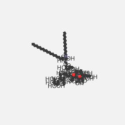 CCCCCCCCCCCCC/C=C/[C@@H](O)[C@H](CO[C@@H]1OC(CO)[C@@H](O[C@@H]2OC(CO)[C@H](O[C@@H]3OC(CO)[C@H](O)[C@H](O[C@@H]4OC(CO)[C@H](O)[C@H](O)C4O)C3NC(C)=O)[C@H](O[C@]3(C(=O)O)CC(O)[C@@H](NC(C)=O)C([C@H](O)[C@@H](CO)O[C@]4(C(=O)O)CC(O)[C@@H](NC(C)=O)C([C@H](O)[C@H](O)CO)O4)O3)C2O)[C@H](O)C1O)NC(=O)CCCCCCCCCCCCCCCCCCC